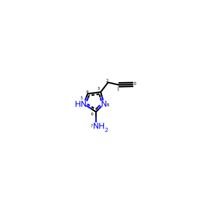 C#CCc1c[nH]c(N)n1